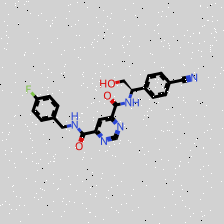 N#Cc1ccc([C@H](CO)NC(=O)c2cc(C(=O)NCc3ccc(F)cc3)ncn2)cc1